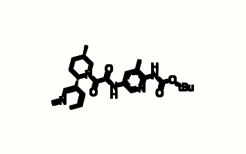 C=N/C=C(\C=C/C)[C@@H]1CC[C@@H](C)CN1C(=O)C(=O)Nc1cnc(NC(=O)OC(C)(C)C)c(C)c1